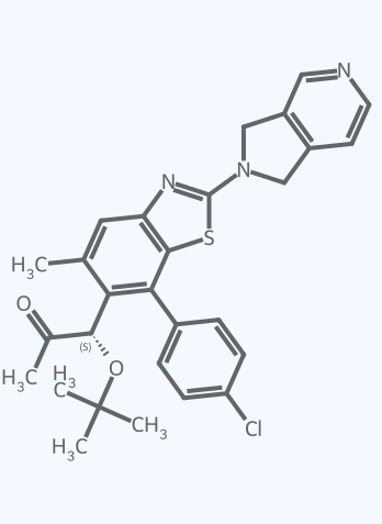 CC(=O)[C@@H](OC(C)(C)C)c1c(C)cc2nc(N3Cc4ccncc4C3)sc2c1-c1ccc(Cl)cc1